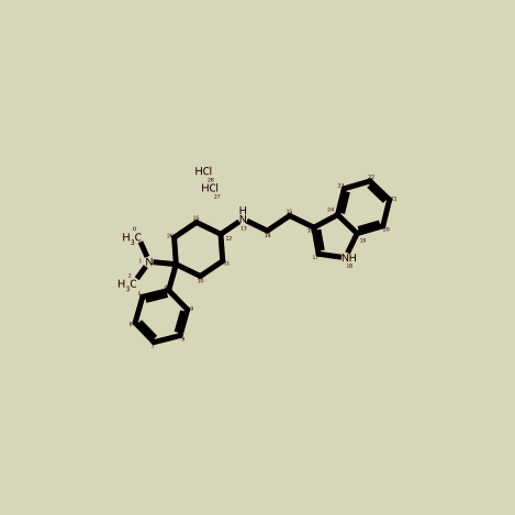 CN(C)C1(c2ccccc2)CCC(NCCc2c[nH]c3ccccc23)CC1.Cl.Cl